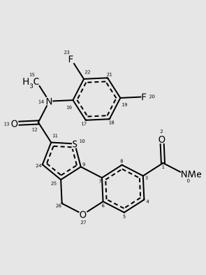 CNC(=O)c1ccc2c(c1)-c1sc(C(=O)N(C)c3ccc(F)cc3F)cc1CO2